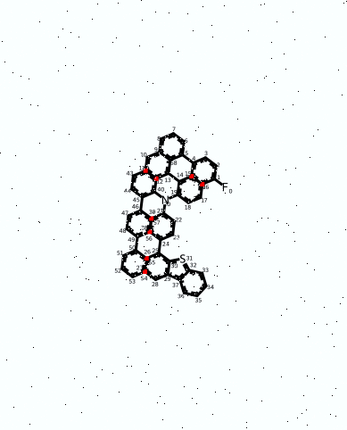 Fc1ccc(-c2cccc3cccc(-c4ccccc4N(c4ccc(-c5cccc6c5sc5ccccc56)cc4)c4ccccc4-c4ccc(-c5ccccc5)cc4)c23)cc1